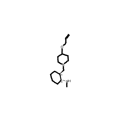 C=CCOC1CCN(C[C@@H]2CCCC[C@H]2NC)CC1